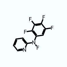 Fc1cc(N(F)c2ccccn2)c(F)c(F)c1F